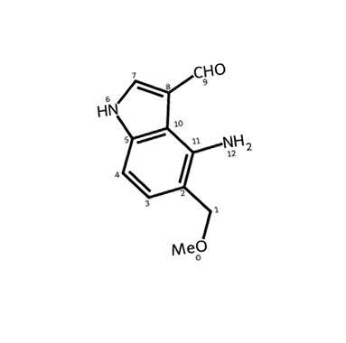 COCc1ccc2[nH]cc(C=O)c2c1N